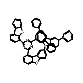 C1#CCC(c2nc(-c3cccc4c3sc3ccccc34)nc(-c3cccc4oc5ccc(-n6c7c(c8cc(-c9ccccc9)ccc86)=CC(c6ccccc6)CC=7)cc5c34)n2)=CC(c2ccccc2)=C1